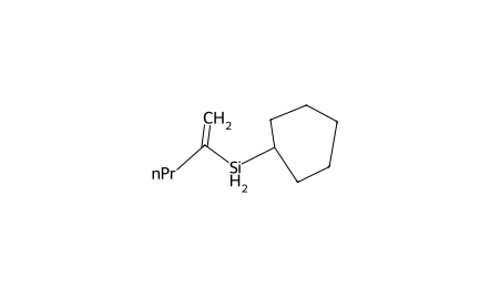 C=C(CCC)[SiH2]C1CCCCC1